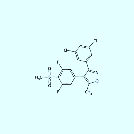 Cc1onc(-c2cc(Cl)cc(Cl)c2)c1-c1cc(F)c(S(C)(=O)=O)c(F)c1